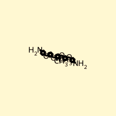 Cc1c(Oc2cccc(Oc3ccc(N)cc3)c2)ccc(Oc2cccc(Oc3ccc(N)cc3)c2)c1C